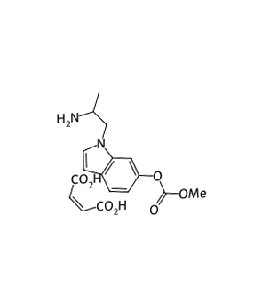 COC(=O)Oc1ccc2ccn(CC(C)N)c2c1.O=C(O)/C=C\C(=O)O